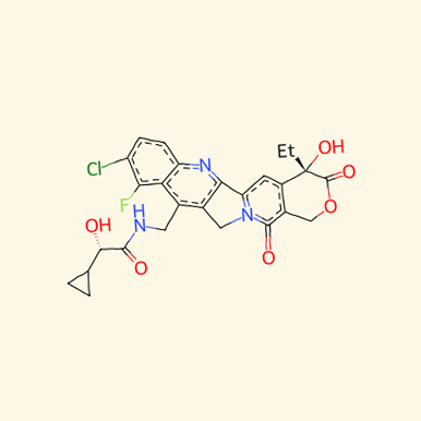 CC[C@@]1(O)C(=O)OCc2c1cc1n(c2=O)Cc2c-1nc1ccc(Cl)c(F)c1c2CNC(=O)[C@@H](O)C1CC1